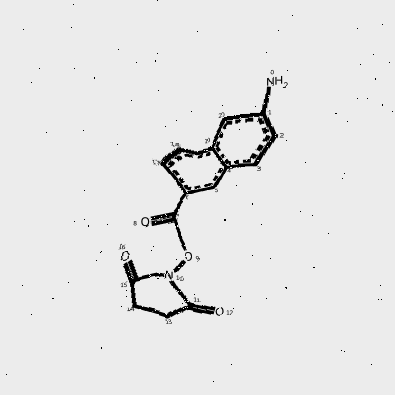 Nc1ccc2cc(C(=O)ON3C(=O)CCC3=O)ccc2c1